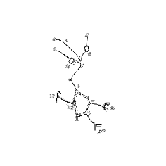 CC[Si](CCc1cc(F)c(F)cc1F)(OC)OC